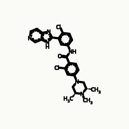 C[C@@H]1CN(c2ccc(C(=O)Nc3ccc(Cl)c(-c4nc5ccncc5[nH]4)c3)c(Cl)c2)C[C@H](C)N1C